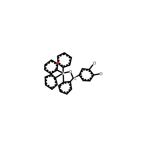 Clc1ccc([C@@H]2OP(c3ccccc3)(c3ccccc3)(c3ccccc3)c3ccccc32)cc1Cl